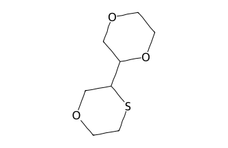 C1COC(C2COCCS2)CO1